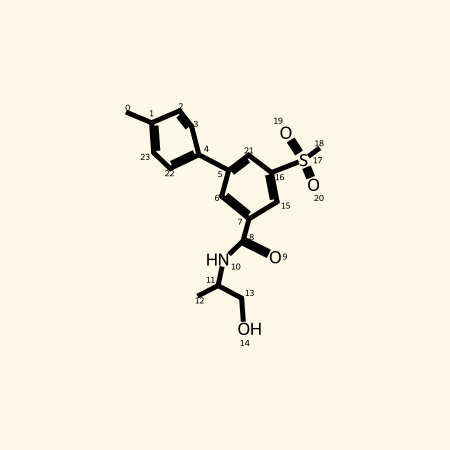 Cc1ccc(-c2cc(C(=O)NC(C)CO)cc(S(C)(=O)=O)c2)cc1